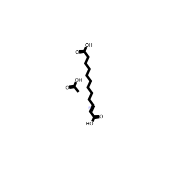 CC(=O)O.O=C(O)/C=C/CCCCCCCCC(=O)O